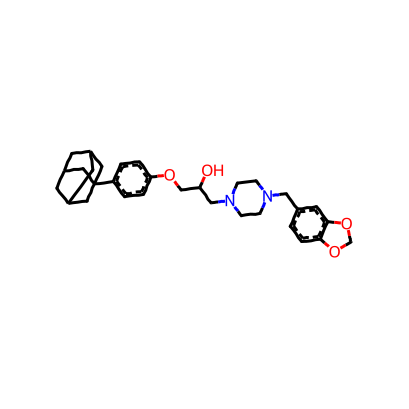 OC(COc1ccc(C23CC4CC(CC(C4)C2)C3)cc1)CN1CCN(Cc2ccc3c(c2)OCO3)CC1